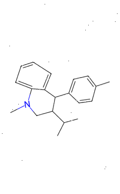 Cc1ccc(C2c3ccccc3N(C)CC2C(C)C)cc1